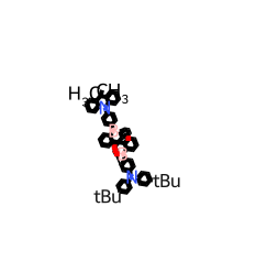 CC(C)(C)c1ccc(N(c2ccc(B3c4ccccc4C4(c5ccccc5B(c5ccc(N6c7ccccc7C(C)(C)c7ccccc76)cc5)C5C=CC=CC54)C4C=CC=CC34)cc2)c2ccc(C(C)(C)C)cc2)cc1